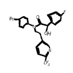 CC(C)c1ccc(N(CCc2ccc(C(F)(F)F)nc2)C(=O)C(O)c2ccc(F)cc2)cc1